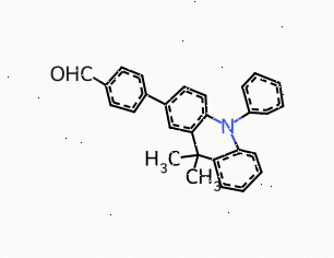 CC1(C)c2ccccc2N(c2ccccc2)c2ccc(-c3ccc(C=O)cc3)cc21